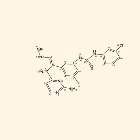 CC(C)(C)N/C=C(\C(=N)c1ccnc(N)n1)c1cc(F)cc(NC(=O)Nc2cccc(Cl)c2)c1